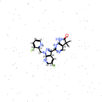 CC1(C)C(=O)Nc2nc(-c3nn(Cc4ncccc4F)c4ncc(F)cc34)ncc21